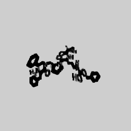 CN[C@@H](C)C(=O)N[C@@H](CCCNC(O)OCc1ccccc1)C(=O)N1CCC[C@H]1CN(CCc1ccccc1)C(=O)[C@H](N)Cc1ccccc1